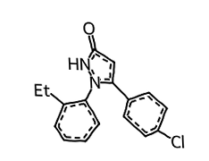 CCc1ccccc1-n1[nH]c(=O)cc1-c1ccc(Cl)cc1